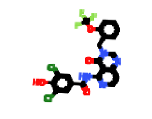 O=C(Nc1nccc2ncn(Cc3ccccc3OC(F)(F)F)c(=O)c12)c1cc(Cl)c(O)c(Cl)c1